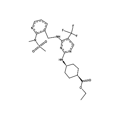 CCOC(=O)[C@H]1CC[C@@H](Nc2ncc(C(F)(F)F)c(NCc3cccnc3N(C)S(C)(=O)=O)n2)CC1